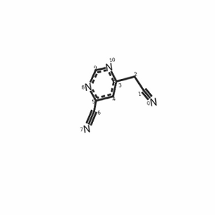 N#CCc1cc(C#N)ncn1